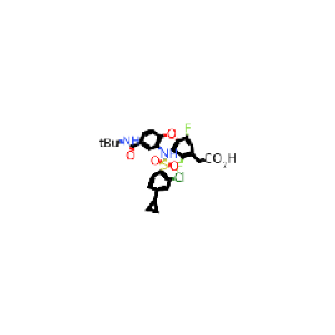 CC(C)(C)NC(=O)c1ccc(Oc2cc(F)c(CC(=O)O)cc2F)c(NS(=O)(=O)c2ccc(C3CC3)cc2Cl)c1